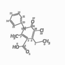 CCc1c(C(=O)O)c(C)n(-c2ccccc2)c(=O)c1Cl